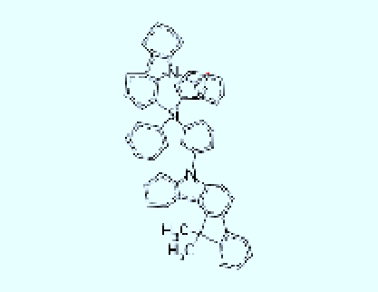 CC1(C)c2ccccc2-c2ccc3c(c21)c1ccccc1n3-c1cccc([Si](c2ccccc2)(c2ccccc2)c2cccc3c4ccccc4n(-c4ccccc4)c23)c1